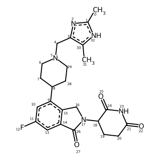 Cc1nc(CN2CCC(c3cc(F)cc4c3CN(C3CCC(=O)NC3=O)C4=O)CC2)c(C)[nH]1